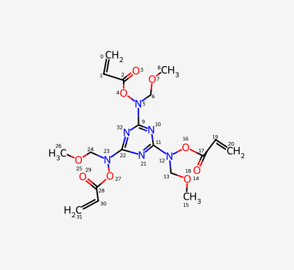 C=CC(=O)ON(COC)c1nc(N(COC)OC(=O)C=C)nc(N(COC)OC(=O)C=C)n1